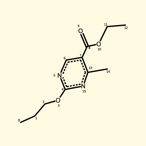 CCCOc1ncc(C(=O)OCC)c(C)n1